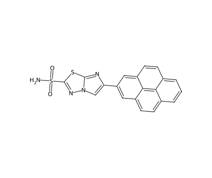 NS(=O)(=O)c1nn2cc(-c3cc4ccc5cccc6ccc(c3)c4c56)nc2s1